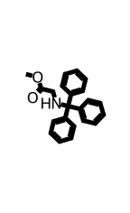 COC(=O)CNC(c1ccccc1)(c1ccccc1)c1ccccc1